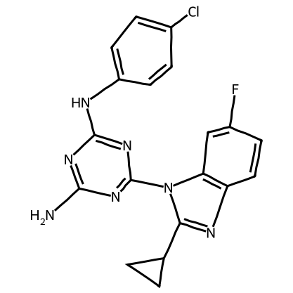 Nc1nc(Nc2ccc(Cl)cc2)nc(-n2c(C3CC3)nc3ccc(F)cc32)n1